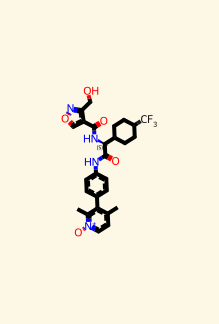 Cc1cc[n+]([O-])c(C)c1-c1ccc(NC(=O)[C@@H](NC(=O)c2conc2CO)C2CCC(C(F)(F)F)CC2)cc1